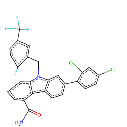 NC(=O)c1cccc2c1c1[c]cc(-c3ccc(Cl)cc3Cl)cc1n2Cc1cc(C(F)(F)F)ccc1F